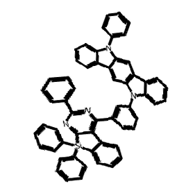 c1ccc(-c2nc(-c3cccc(-n4c5ccccc5c5cc6c(cc54)c4ccccc4n6-c4ccccc4)c3)c3c(n2)[Si](c2ccccc2)(c2ccccc2)c2ccccc2-3)cc1